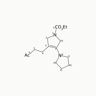 CCOC(=O)N1CC(CCC(C)=O)=C(N2CCCC2)C1